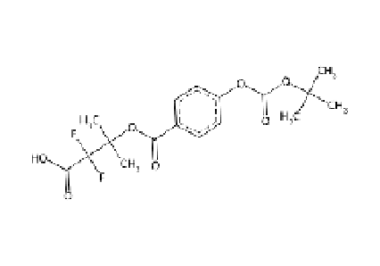 CC(C)(C)OC(=O)Oc1ccc(C(=O)OC(C)(C)C(F)(F)C(=O)O)cc1